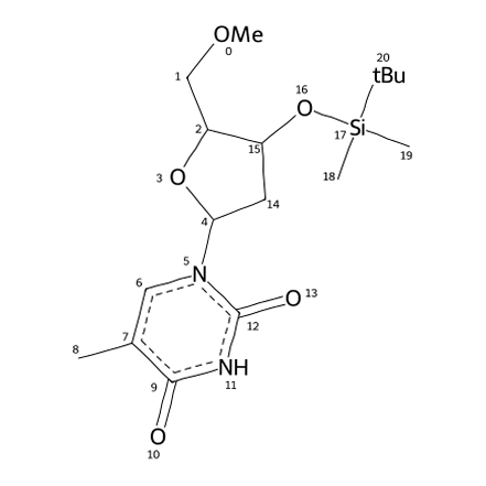 COCC1OC(n2cc(C)c(=O)[nH]c2=O)CC1O[Si](C)(C)C(C)(C)C